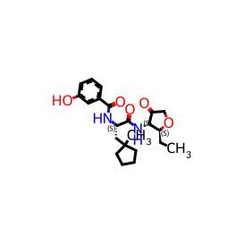 CC[C@@H]1OCC(=O)[C@H]1NC(=O)[C@H](CC1(C)CCCC1)NC(=O)c1cccc(O)c1